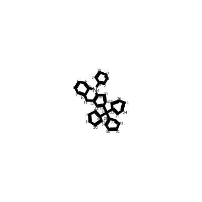 c1ccc(N2c3ccccc3Cc3cc(C(c4ccccc4)(c4ccccc4)c4ccccc4)ccc32)cc1